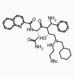 CC(C)(C)CCNN(CC1CCCCC1)C[C@H](O)C(C(=O)[C@H](CC(N)=O)NC(=O)c1ccc2ccccc2n1)C(N)c1ccccc1